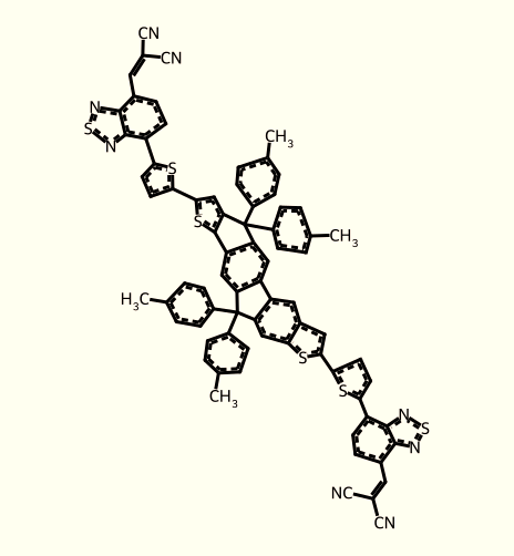 Cc1ccc(C2(c3ccc(C)cc3)c3cc4c(cc3-c3cc5cc(-c6ccc(-c7ccc(C=C(C#N)C#N)c8nsnc78)s6)sc5cc32)C(c2ccc(C)cc2)(c2ccc(C)cc2)c2cc(-c3ccc(-c5ccc(C=C(C#N)C#N)c6nsnc56)s3)sc2-4)cc1